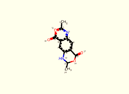 Cc1nc2cc3c(cc2c(=O)o1)NC(C)OC3=O